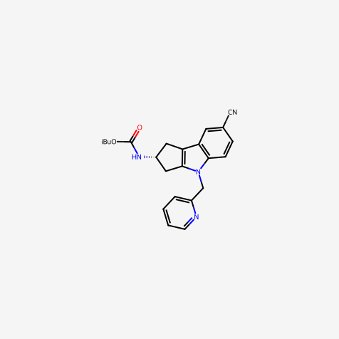 CC(C)COC(=O)N[C@@H]1Cc2c(n(Cc3ccccn3)c3ccc(C#N)cc23)C1